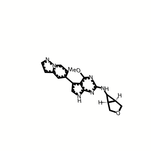 COc1nc(NC2[C@H]3COC[C@@H]23)nc2[nH]cc(-c3ccn4nccc4c3)c12